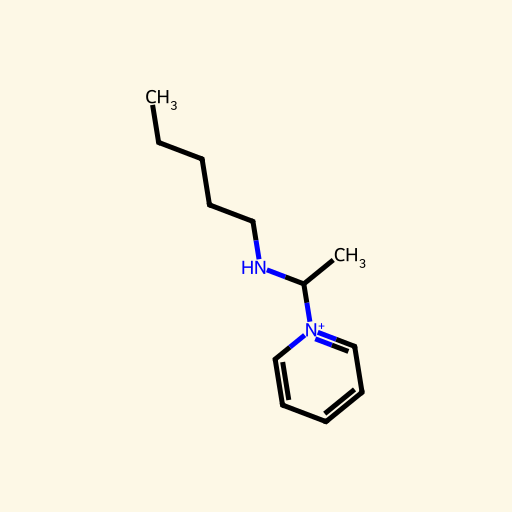 CCCCCNC(C)[n+]1ccccc1